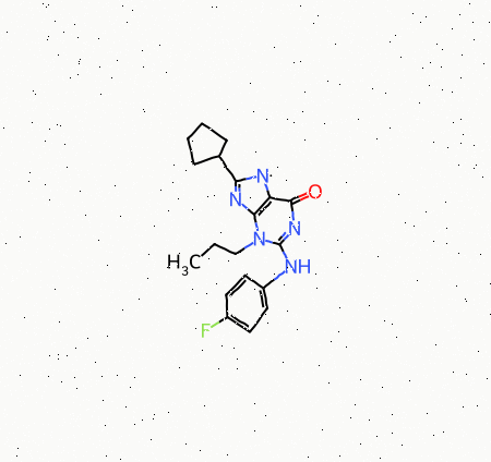 CCCn1c(Nc2ccc(F)cc2)nc(=O)c2c1N=C(C1CCCC1)[N]2